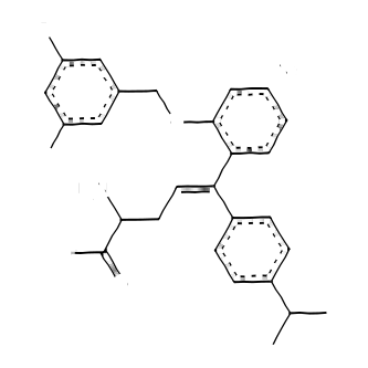 CC(C)c1ccc(/C(=C\CC(N)C(=O)[O-])c2ccccc2OCc2cc(F)cc(F)c2)cc1.[Na+]